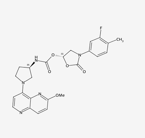 COc1ccc2nccc(N3CC[C@@H](NC(=O)O[C@@H]4CN(c5ccc(C)c(F)c5)C(=O)O4)C3)c2n1